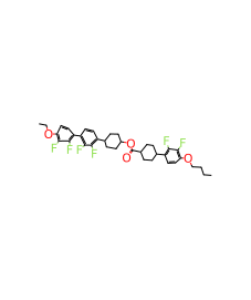 CCCCOc1ccc(C2CCC(C(=O)OC3CCC(c4ccc(-c5ccc(OCC)c(F)c5F)c(F)c4F)CC3)CC2)c(F)c1F